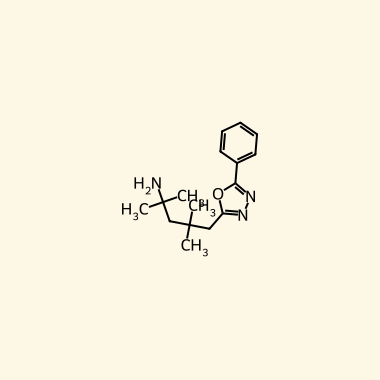 CC(C)(N)CC(C)(C)Cc1nnc(-c2ccccc2)o1